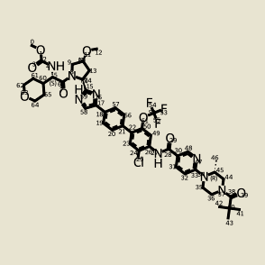 COC(=O)N[C@H](C(=O)N1C[C@@H](OC)C[C@H]1c1nc(-c2ccc(-c3cc(Cl)c(NC(=O)c4ccc(N5CCN(C(=O)C(C)(C)C)C[C@H]5C)nc4)cc3OC(F)(F)F)cc2)c[nH]1)C1CCOCC1